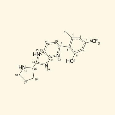 Cc1cc(C(F)(F)F)cc(O)c1-c1ccc2[nH]c(C3CCCN3)nc2n1